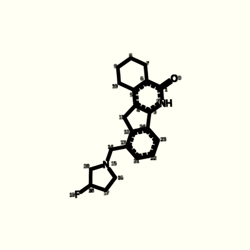 O=c1[nH]c2c(c3c1CCCC3)Cc1c(CN3CCC(F)C3)cccc1-2